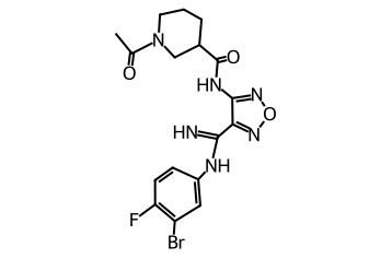 CC(=O)N1CCCC(C(=O)Nc2nonc2C(=N)Nc2ccc(F)c(Br)c2)C1